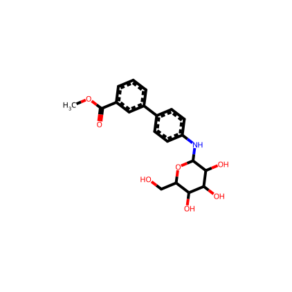 COC(=O)c1cccc(-c2ccc(NC3OC(CO)C(O)C(O)C3O)cc2)c1